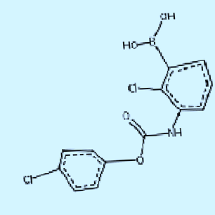 O=C(Nc1cccc(B(O)O)c1Cl)Oc1ccc(Cl)cc1